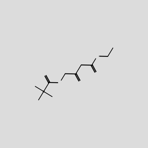 CCOC(=O)CC(=O)CSC(=O)C(C)(C)C